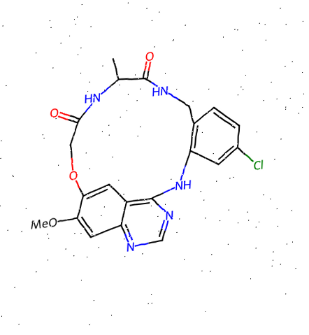 COc1cc2ncnc3c2cc1OCC(=O)NC(C)C(=O)NCc1ccc(Cl)cc1N3